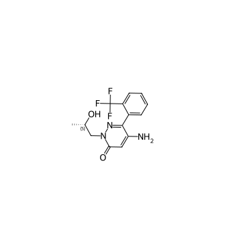 C[C@H](O)Cn1nc(-c2ccccc2C(F)(F)F)c(N)cc1=O